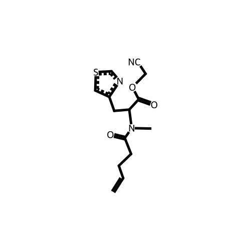 C=CCCC(=O)N(C)C(Cc1cscn1)C(=O)OCC#N